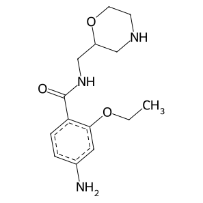 CCOc1cc(N)ccc1C(=O)NCC1CNCCO1